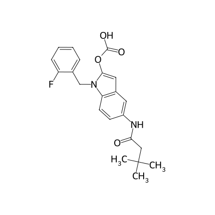 CC(C)(C)CC(=O)Nc1ccc2c(c1)cc(OC(=O)O)n2Cc1ccccc1F